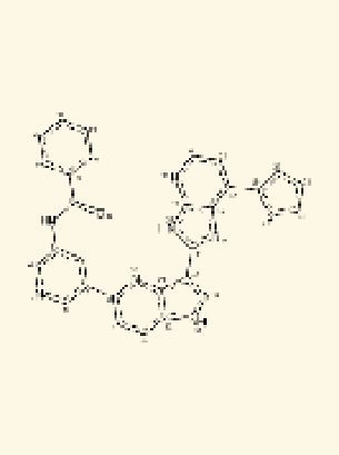 O=C(Nc1cncc(-c2ccc3[nH]nc(-c4nc5c(-c6cccs6)ccnc5[nH]4)c3n2)c1)c1ccccc1